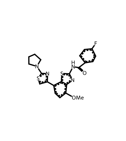 COc1ccc(-c2csc(N3CCCC3)n2)c2sc(NC(=O)c3ccc(F)cc3)nc12